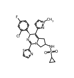 Cn1ccc(C2=C3CC(NS(=O)(=O)C4CC4)CN3C(c3nccs3)=N[C@H]2c2ccc(F)cc2Cl)n1